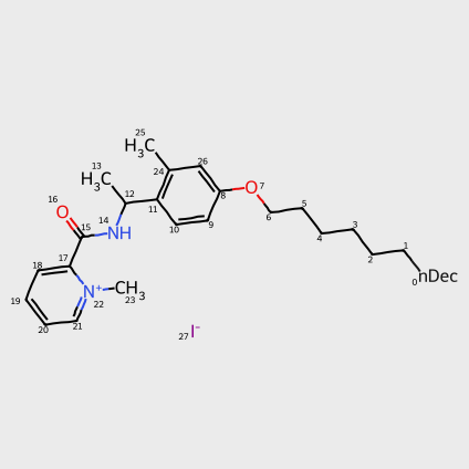 CCCCCCCCCCCCCCCCOc1ccc(C(C)NC(=O)c2cccc[n+]2C)c(C)c1.[I-]